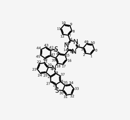 c1ccc(-c2nc(-c3ccccc3)nc(-c3ccc(-n4c5ccccc5c5cc6sc7ccccc7c6cc54)c4c3sc3ccccc34)n2)cc1